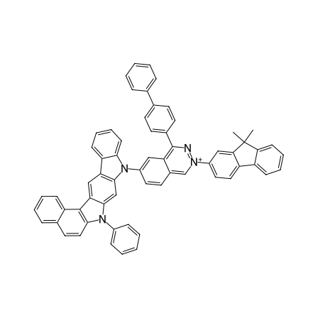 CC1(C)c2ccccc2-c2ccc(-[n+]3cc4ccc(-n5c6ccccc6c6cc7c8c9ccccc9ccc8n(-c8ccccc8)c7cc65)cc4c(-c4ccc(-c5ccccc5)cc4)n3)cc21